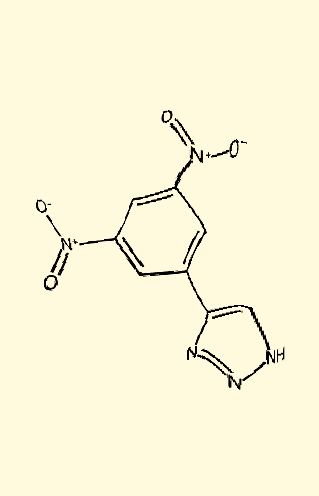 O=[N+]([O-])c1cc(-c2c[nH]nn2)cc([N+](=O)[O-])c1